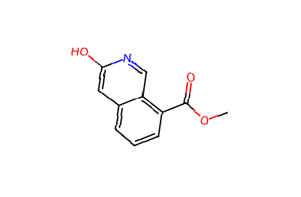 COC(=O)c1cccc2cc(O)ncc12